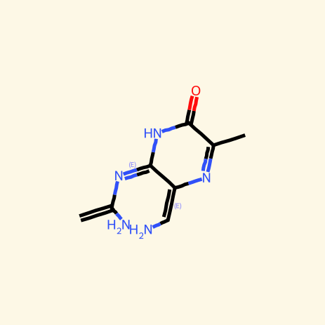 C=C(N)/N=C1/NC(=O)C(C)=N/C1=C/N